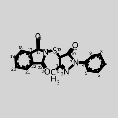 CC1=NN(c2ccccc2)C(=O)C1SN1C(=O)c2ccccc2C1=O